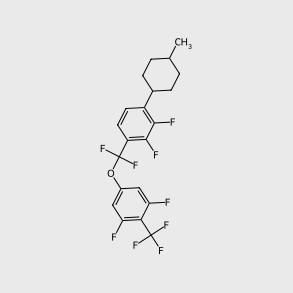 CC1CCC(c2ccc(C(F)(F)Oc3cc(F)c(C(F)(F)F)c(F)c3)c(F)c2F)CC1